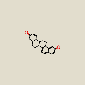 O=C1C=CC2=CC=C3C(CCC4C3CCC3CC(=O)C=CC34)C2=C1